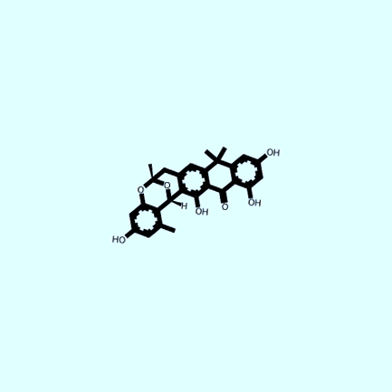 Cc1cc(O)cc2c1[C@@H]1O[C@@](C)(Cc3cc4c(c(O)c31)C(=O)c1c(O)cc(O)cc1C4(C)C)O2